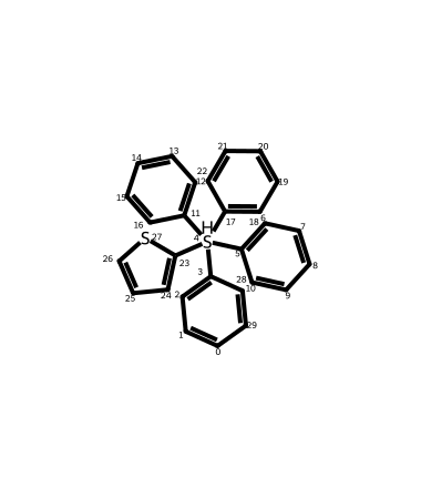 c1ccc([SH](c2ccccc2)(c2ccccc2)(c2ccccc2)c2cccs2)cc1